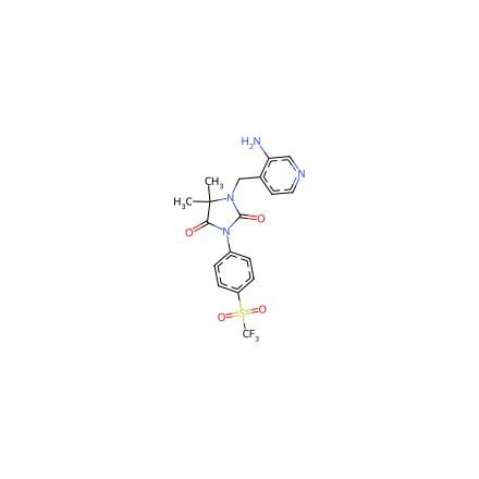 CC1(C)C(=O)N(c2ccc(S(=O)(=O)C(F)(F)F)cc2)C(=O)N1Cc1ccncc1N